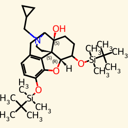 CC(C)(C)[Si](C)(C)Oc1ccc2c3c1O[C@H]1C(O[Si](C)(C)C(C)(C)C)CC[C@@]4(O)C(C2)N(CC2CC2)CC[C@]314